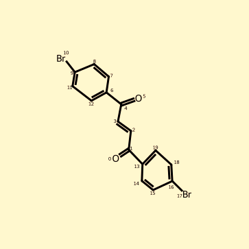 O=C(C=CC(=O)c1ccc(Br)cc1)c1ccc(Br)cc1